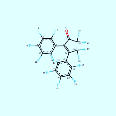 O=C1C(c2c(F)c(F)c(F)c(F)c2F)=C(c2c(F)c(F)c(F)c(F)c2F)C(F)(F)C1(F)F